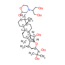 C[C@@H]1C[C@H]([C@H](O)C(C)(C)O)O[C@H]2C1[C@@]1(C)CC[C@@]34C[C@@]35CC[C@H](OC3CN(C(CO)CO)CCO3)C(C)(C)[C@@H]5CC[C@H]4[C@]1(C)[C@H]2O